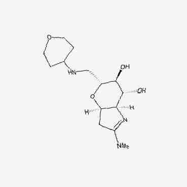 CNC1=N[C@@H]2[C@@H](O)[C@H](O)[C@@H](CNC3CCOCC3)O[C@@H]2C1